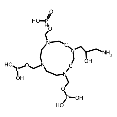 NCC(O)CN1CCN(COP(O)O)CCN(COP(O)O)CCN(CO[PH](=O)O)CC1